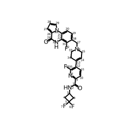 O=C(NC1CC(F)(F)C1)c1ccc(C2=CCN(Cc3ccc4c([nH]c(=O)c5cccn54)c3F)CC2)c(F)n1